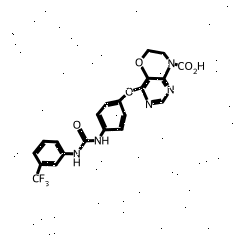 O=C(Nc1ccc(Oc2ncnc3c2OCCN3C(=O)O)cc1)Nc1cccc(C(F)(F)F)c1